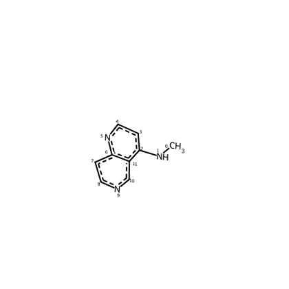 CNc1ccnc2ccncc12